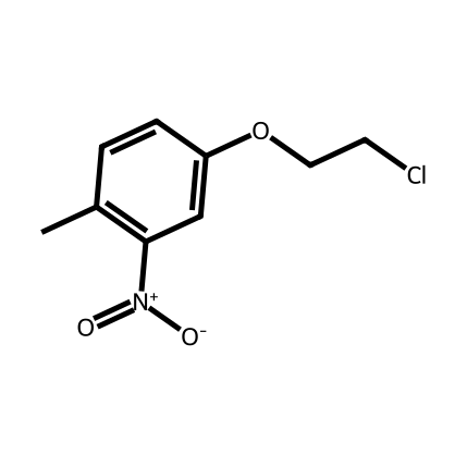 Cc1ccc(OCCCl)cc1[N+](=O)[O-]